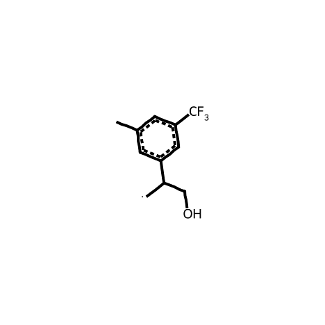 [CH2]C(CO)c1cc(C)cc(C(F)(F)F)c1